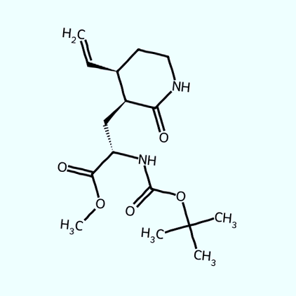 C=C[C@H]1CCNC(=O)[C@H]1C[C@H](NC(=O)OC(C)(C)C)C(=O)OC